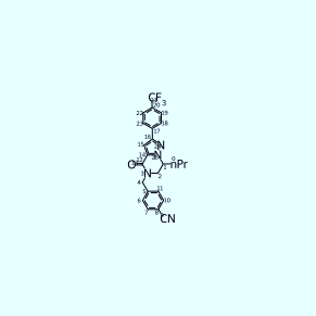 CCCC1CN(Cc2ccc(C#N)cc2)C(=O)c2cc(-c3ccc(C(F)(F)F)cc3)nn21